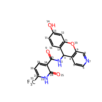 O=C(NC1c2ccncc2Oc2cc(O)ccc21)c1ccc(C(F)(F)F)[nH]c1=O